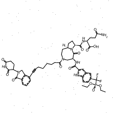 CCOP(=O)(OCC)C(F)(F)c1ccc2[nH]c(C(=O)N[C@H]3CN(C(=O)CCCCCC#Cc4cccc5c4CN(C4CCC(=O)NC4=O)C5=O)CC[C@H]4CC[C@@H](C(=O)NC(CCC(N)=O)C(=O)O)N4C3=O)cc2c1